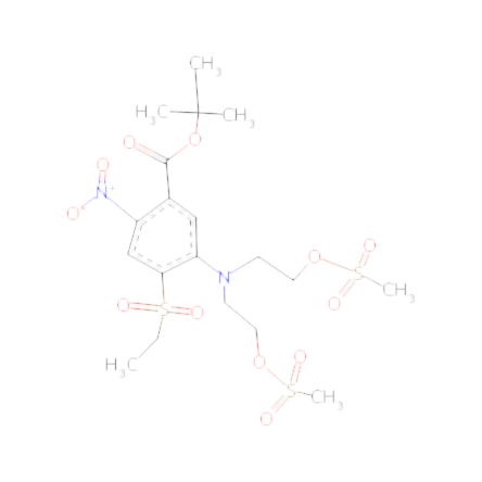 CCS(=O)(=O)c1cc([N+](=O)[O-])c(C(=O)OC(C)(C)C)cc1N(CCOS(C)(=O)=O)CCOS(C)(=O)=O